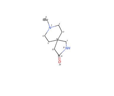 CC(C)(C)N1CCC2(CC1)CNC(=O)C2